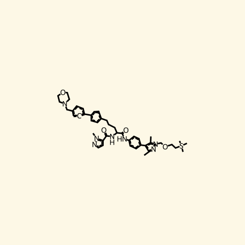 Cc1nn(COCCS(C)(C)C)c(C)c1-c1ccc(NC(=O)C(CCCc2ccc(-c3ccc(CN4CCOCC4)cc3)cc2)NC(=O)c2ccnn2C)cc1